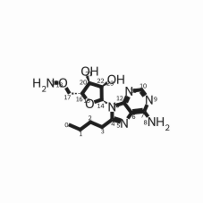 CCCCc1nc2c(N)ncnc2n1[C@@H]1O[C@H](CON)[C@@H](O)[C@H]1O